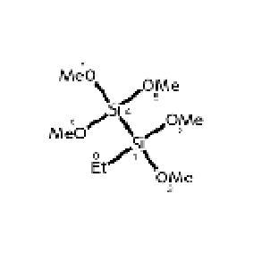 CC[Si](OC)(OC)[Si](OC)(OC)OC